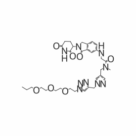 CCCOCCOCCOCCn1cc(Cn2cc(CN(C)C(=O)CNc3ccc4c(c3)C(=O)N(C3CCC(=O)NC3=O)C4)cn2)nn1